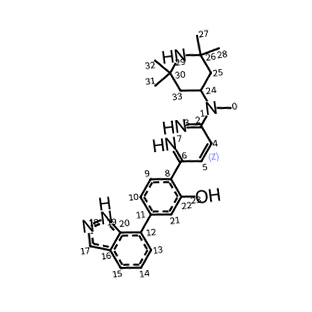 CN(C(=N)/C=C\C(=N)c1ccc(-c2cccc3cn[nH]c23)cc1O)C1CC(C)(C)NC(C)(C)C1